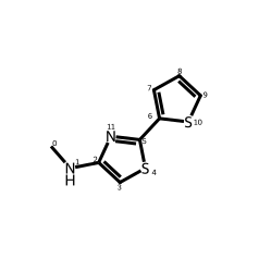 CNc1csc(-c2cccs2)n1